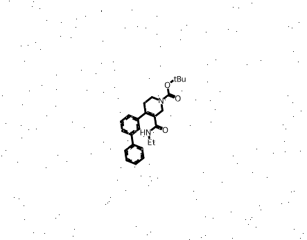 CCNC(=O)C1=C(c2cccc(-c3ccccc3)c2)CCN(C(=O)OC(C)(C)C)C1